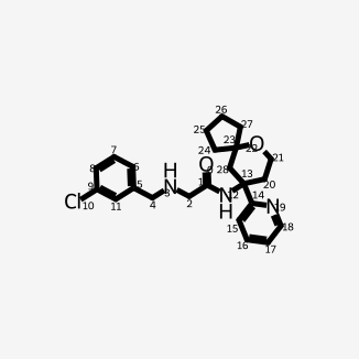 O=C(CNCc1cccc(Cl)c1)NC1(c2ccccn2)CCOC2(CCCC2)C1